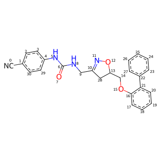 N#Cc1ccc(NC(=O)NCC2=NOC(COc3ccccc3-c3ccccc3)C2)cc1